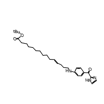 CC(C)(C)OC(=O)CCCCCCCCCC=CCCCNc1ccc(C(=O)c2ncc[nH]2)cc1